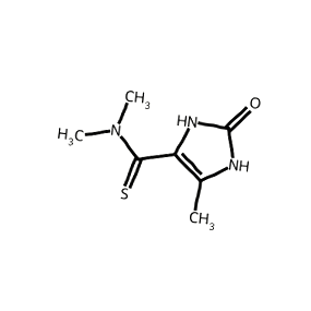 Cc1[nH]c(=O)[nH]c1C(=S)N(C)C